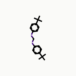 CC(C)(C)c1ccc([I+]C[I+]c2ccc(C(C)(C)C)cc2)cc1